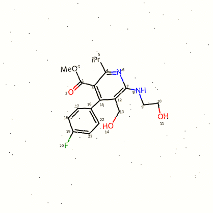 COC(=O)c1c(C(C)C)nc(NCCO)c(CO)c1-c1ccc(F)cc1